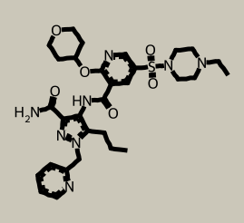 CCCc1c(NC(=O)c2cc(S(=O)(=O)N3CCN(CC)CC3)cnc2OC2CCOCC2)c(C(N)=O)nn1Cc1ccccn1